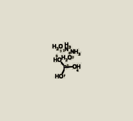 N.N.O.O.OP(O)O